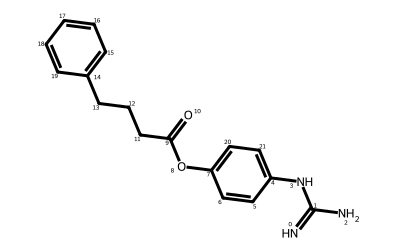 N=C(N)Nc1ccc(OC(=O)CCCc2ccccc2)cc1